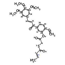 C/C=C/C(=O)SCC(=O)Oc1cc(C(=O)C=Cc2cc(OC)c(OC)c(OC)c2)ccc1OC